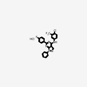 Cl.Fc1ccc(-c2nc(Nc3ccc(Cl)c(C(F)(F)F)c3)c3cnn(-c4ccccc4)c3n2)cc1